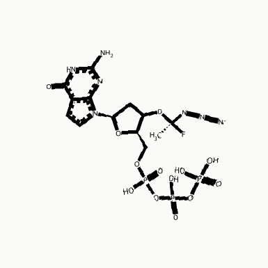 C[C@@](F)(N=[N+]=[N-])OC1C[C@H](n2ccc3c(=O)[nH]c(N)nc32)O[C@@H]1COP(=O)(O)OP(=O)(O)OP(=O)(O)O